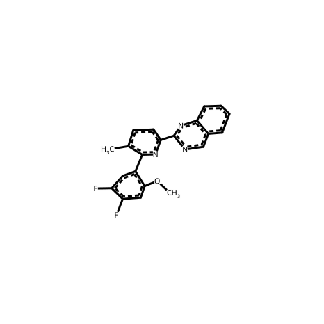 COc1cc(F)c(F)cc1-c1nc(-c2ncc3ccccc3n2)ccc1C